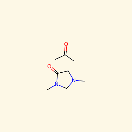 CC(C)=O.CN1CC(=O)N(C)C1